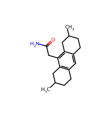 CC1CCc2cc3c(c(CC(N)=O)c2C1)CC(C)CC3